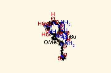 CC[C@H](C)[C@H](NC(=O)CN)C(=O)NCC(=O)N[C@H]1C[S+]([O-])c2[nH]c3c(CS[C@@H]4CCN(C(=O)CCCCCN5C(=O)C=CC5=O)C4)c(OC)ccc3c2C[C@@H](CO)NC(=O)[C@H]([C@@H](C)[C@@H](O)CO)NC(=O)[C@@H]2C[C@@H](O)CN2C(=O)[C@H](CC(N)=O)NC1=O